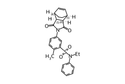 CCN(c1ccccc1)S(=O)(=O)c1cc(N2C(=O)[C@@H]3[C@H](C2=O)[C@@H]2C=C[C@H]3CC2)ccc1C